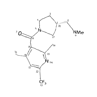 CNC[C@H]1CCN(C(=O)c2c(C)cc(C(F)(F)F)nc2C)C1